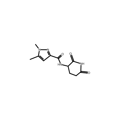 Cc1cc(C(=O)NC2CCC(=O)NC2=O)nn1C